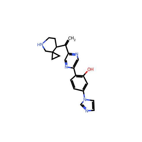 C=C(c1cnc(-c2ccc(-n3ccnc3)cc2O)cn1)C1CCNCC12CC2